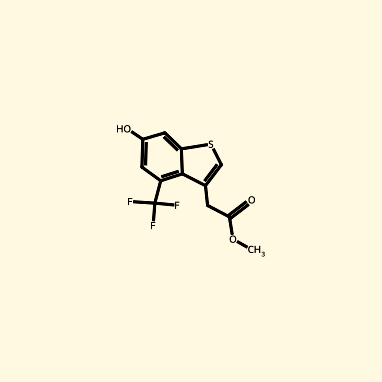 COC(=O)Cc1csc2cc(O)cc(C(F)(F)F)c12